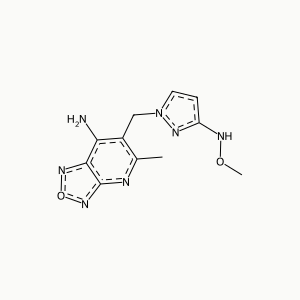 CONc1ccn(Cc2c(C)nc3nonc3c2N)n1